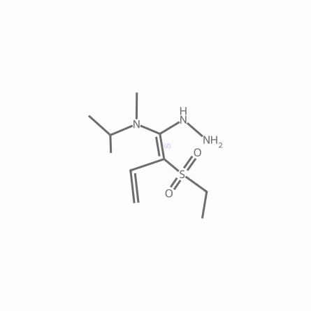 C=C/C(=C(/NN)N(C)C(C)C)S(=O)(=O)CC